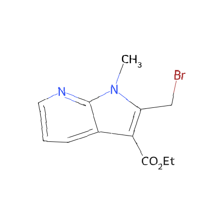 CCOC(=O)c1c(CBr)n(C)c2ncccc12